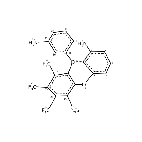 Nc1cccc(Oc2c(Oc3cccc(N)c3)c(C(F)(F)F)c(C(F)(F)F)c(C(F)(F)F)c2C(F)(F)F)c1